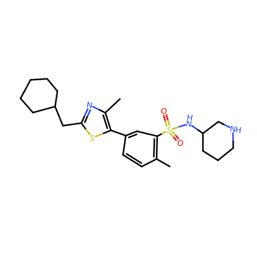 Cc1ccc(-c2sc(CC3CCCCC3)nc2C)cc1S(=O)(=O)NC1CCCNC1